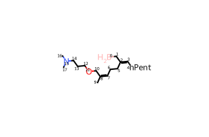 BC/C(=C/CCCCC)CC/C=C(/C)COCCCN(C)C